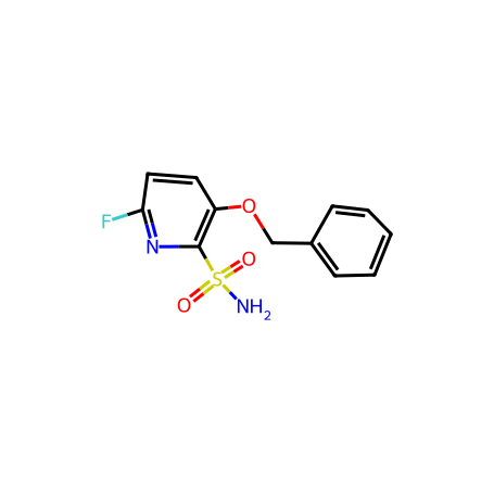 NS(=O)(=O)c1nc(F)ccc1OCc1ccccc1